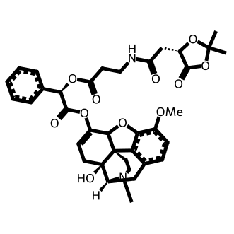 COc1ccc2c3c1OC1C(OC(=O)[C@H](OC(=O)CCNC(=O)C[C@@H]4OC(C)(C)OC4=O)c4ccccc4)=CC[C@@]4(O)[C@@H](C2)N(C)CC[C@]314